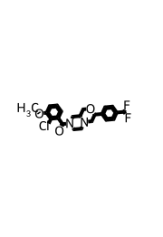 COc1cccc(C(=O)N2CCN3CC(c4ccc(C(F)F)cc4)OCC3C2)c1Cl